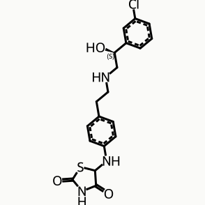 O=C1NC(=O)C(Nc2ccc(CCNC[C@@H](O)c3cccc(Cl)c3)cc2)S1